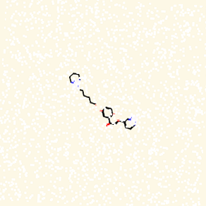 O=c1cc(-c2cccnc2)oc2ccc(OCCCCCCN3CCCCC3)cc12